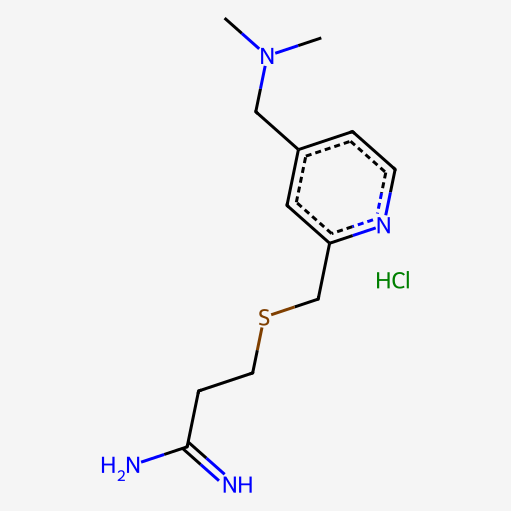 CN(C)Cc1ccnc(CSCCC(=N)N)c1.Cl